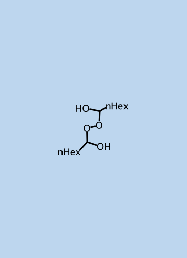 CCCCCCC(O)OOC(O)CCCCCC